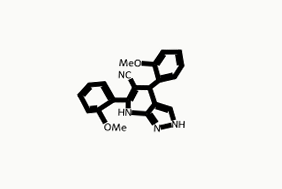 COc1ccccc1C1=C(C#N)C(c2ccccc2OC)c2c[nH]nc2N1